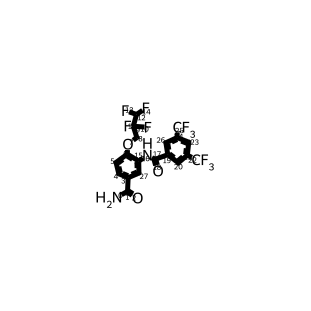 NC(=O)c1ccc(OCC(F)(F)C(F)F)c(NC(=O)c2cc(C(F)(F)F)cc(C(F)(F)F)c2)c1